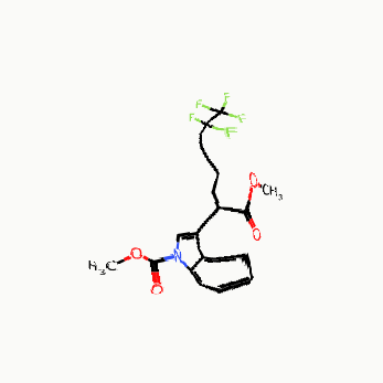 COC(=O)C(CCCC(F)(F)C(F)(F)F)c1cn(C(=O)OC)c2ccccc12